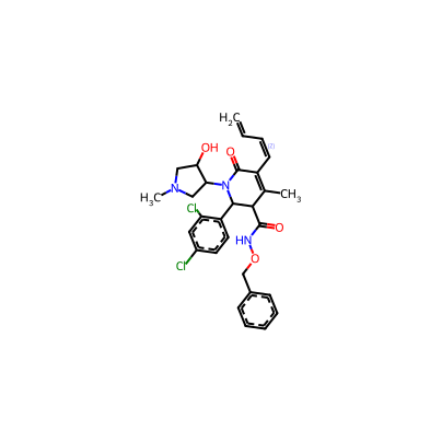 C=C/C=C\C1=C(C)C(C(=O)NOCc2ccccc2)C(c2ccc(Cl)cc2Cl)N(C2CN(C)CC2O)C1=O